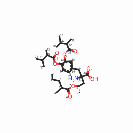 CCCC(C)C(=O)O[C@@H](C)CC(N)(Cc1ccc(OC(=O)C(C)C(C)C)c(OC(=O)C(C)C(C)C)c1)C(=O)O